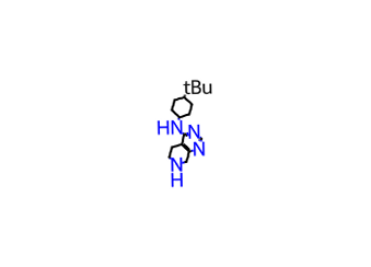 CC(C)(C)C1CCC(Nc2ncnc3c2CCNC3)CC1